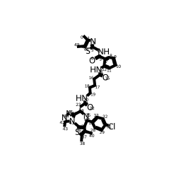 Cc1nc(NC(=O)c2ccccc2NC(=O)CCCCNC(=O)C[C@@H]2N=C(c3ccc(Cl)cc3)c3c(sc(C)c3C)-n3c(C)nnc32)sc1C